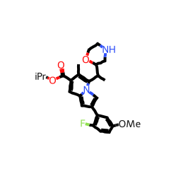 COc1ccc(F)c(-c2cc3cc(C(=O)OC(C)C)c(C)c(C(C)C4CNCCO4)n3c2)c1